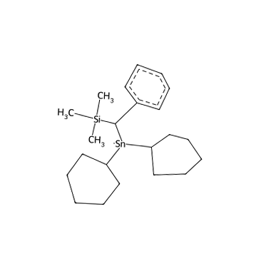 C[Si](C)(C)[CH](c1ccccc1)[Sn]([CH]1CCCCC1)[CH]1CCCCC1